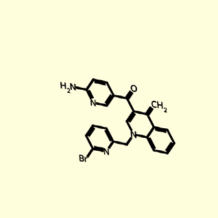 C=C1C(C(=O)c2ccc(N)nc2)=CN(Cc2cccc(Br)n2)c2ccccc21